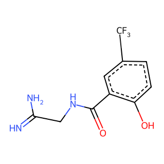 N=C(N)CNC(=O)c1cc(C(F)(F)F)ccc1O